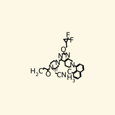 C=CC(=O)N1CCN(c2nc(OCC3CC3(F)F)nc3c2CCN(c2cccc4cccc(C)c24)C3)C[C@@H]1CC#N